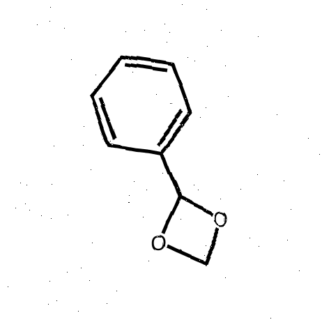 c1ccc(C2OCO2)cc1